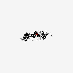 C=CC(=CC1CCc2ccc(cc2-c2ccc3[nH]c([C@@H]4C[C@@H]5CCCC[C@@H]5N4C(=O)[C@@H](NC(=O)OC)C(C)C)nc3c2)C1)c1ccc2[nH]c([C@@H]3C[C@@H]4CCCC[C@@H]4N3C(=O)[C@@H](NC(=O)OC)C(C)C)nc2c1